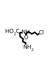 NCCCC[C@H](NC(=O)CCCCCl)C(=O)O